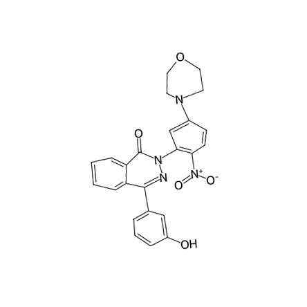 O=c1c2ccccc2c(-c2cccc(O)c2)nn1-c1cc(N2CCOCC2)ccc1[N+](=O)[O-]